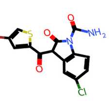 NC(=O)N1C(=O)C(C(=O)c2cc(Br)cs2)c2cc(Cl)ccc21